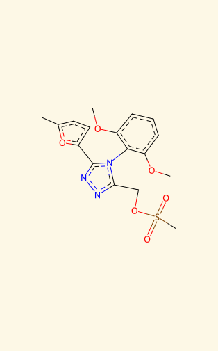 COc1cccc(OC)c1-n1c(COS(C)(=O)=O)nnc1-c1ccc(C)o1